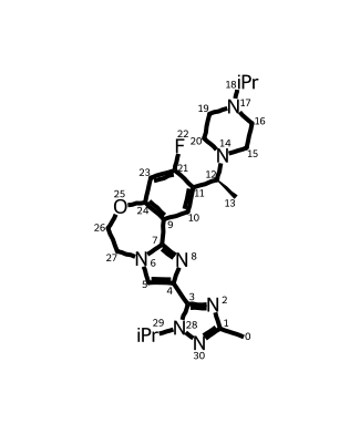 Cc1nc(-c2cn3c(n2)-c2cc([C@H](C)N4CCN(C(C)C)CC4)c(F)cc2OCC3)n(C(C)C)n1